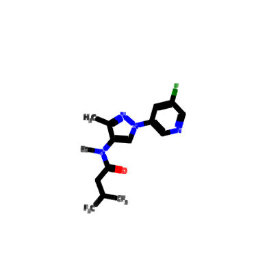 CCN(C(=O)CC(C(F)(F)F)C(F)(F)F)c1cn(-c2cncc(F)c2)nc1C